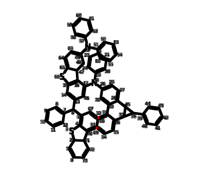 C1=CC2Sc3c(C(c4ccccc4)c4cc5c(c(N(c6ccccc6)c6ccc7c(c6)-c6ccccc6C6C(c8ccccc8)C76)c4)C4CC(N(c6ccccc6)c6ccccc6)=CC=C4S5)cccc3C2C=C1